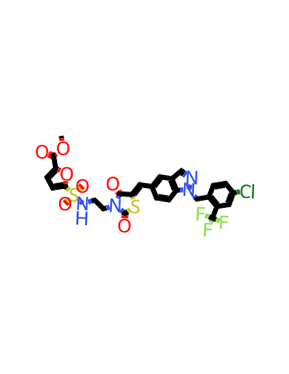 COC(=O)c1ccc(S(=O)(=O)NCCN2C(=O)S/C(=C\c3ccc4c(cnn4Cc4ccc(Cl)cc4C(F)(F)F)c3)C2=O)o1